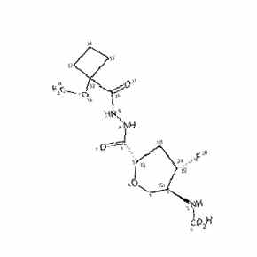 O=C(O)N[C@H]1CO[C@H](C(=O)NNC(=O)C2(OC(F)(F)F)CCC2)C[C@@H]1F